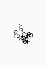 CC(C)Cc1ccc(C(C)CCC2CCC(=O)N2O)cc1.CC(c1ccc(-c2ccccc2)c(F)c1)C1CN(O)C(=O)CS1